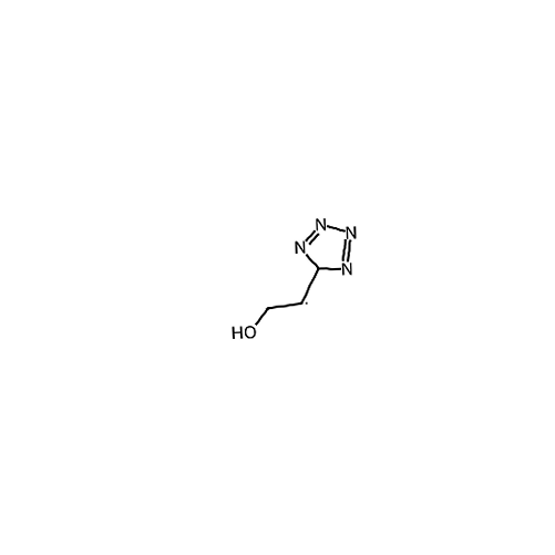 OC[CH]C1N=NN=N1